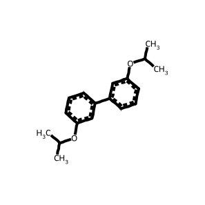 CC(C)Oc1cc[c]c(-c2[c]ccc(OC(C)C)c2)c1